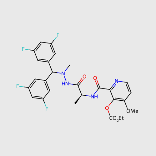 CCOC(=O)Oc1c(OC)ccnc1C(=O)N[C@@H](C)C(=O)NN(C)C(c1cc(F)cc(F)c1)c1cc(F)cc(F)c1